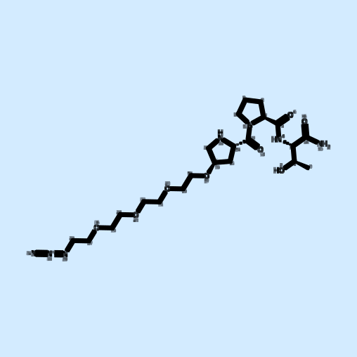 C[C@@H](O)[C@H](NC(=O)[C@@H]1CCCN1C(=O)[C@@H]1C[C@@H](OCCOCCOCCOCCN=[N+]=[N-])CN1)C(N)=O